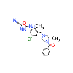 Cc1c(CN2CCN(C(=O)c3ccccc3)[C@@H](C)C2)cc(Cl)cc1Nc1nnc(C#N)o1